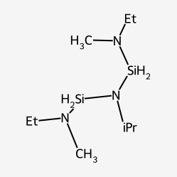 CCN(C)[SiH2]N([SiH2]N(C)CC)C(C)C